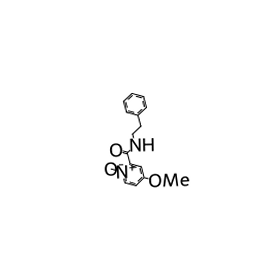 COc1cc[n+]([O-])c(C(=O)NCCc2ccccc2)c1